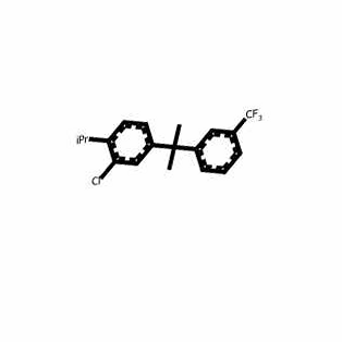 CC(C)c1ccc(C(C)(C)c2cccc(C(F)(F)F)c2)cc1Cl